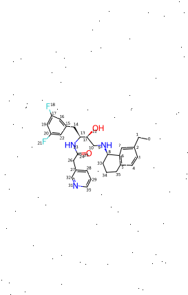 CCc1ccc2c(c1)[C@H](NC[C@H](O)[C@H](Cc1cc(F)cc(F)c1)NC(=O)Cc1cccnc1)CCC2